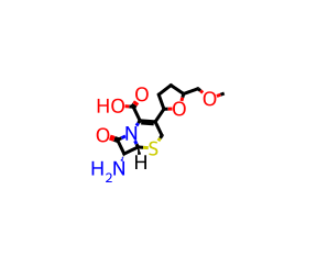 COCC1CCC(C2=C(C(=O)O)N3C(=O)[C@@H](N)[C@H]3SC2)O1